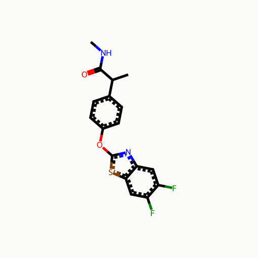 CNC(=O)C(C)c1ccc(Oc2nc3cc(F)c(F)cc3s2)cc1